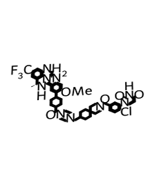 COc1cc2nc(C)nc(N[C@H](C)c3cc(N)cc(C(F)(F)F)c3)c2cc1C1CCC(C(=O)N2CCN(CC3CCC4(CC3)CCN(C(=O)c3ccc(Cl)c(-n5ccc(=O)[nH]c5=O)c3)CC4)CC2)CC1